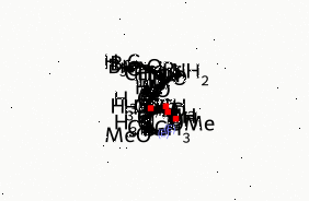 COc1cc2cc(c1Cl)N(C)C(=O)C[C@H](OC(=O)[C@H](C)N(C)C(=O)c1ccc(NC(=O)[C@H](CCCNC(N)=O)NC(=O)[C@@H](NC(=O)CCCCC(C)OC(C=O)(CBr)CBr)C(C)C)c3ncccc13)[C@]1(C)O[C@H]1[C@H](C)[C@@H]1C[C@@](O)(NC(=O)O1)[C@H](OC)/C=C/C=C(\C)C2